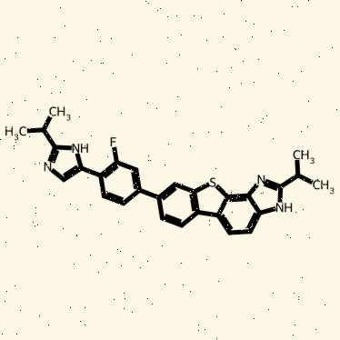 CC(C)c1ncc(-c2ccc(-c3ccc4c(c3)sc3c4ccc4[nH]c(C(C)C)nc43)cc2F)[nH]1